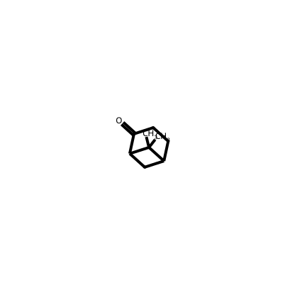 CC1(C)C2CCC(=O)C1C2